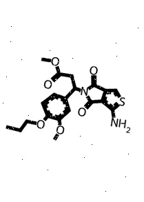 CCCOc1ccc(C(CC(=O)OC)N2C(=O)c3csc(N)c3C2=O)cc1OC